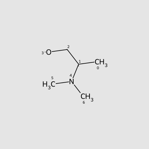 C[C](C[O])N(C)C